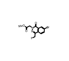 COC(=O)Cn1nc(CF)c2ccc(Br)cc2c1=O